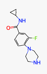 O=C(NC1CC1)c1ccc(N2CCNCC2)c(F)c1